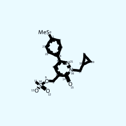 CSc1ccc(-c2cc(COS(C)(=O)=O)c(=O)n(CC3CC3)n2)cc1